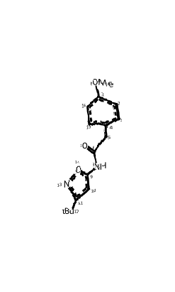 COc1ccc(CC(=O)Nc2cc(C(C)(C)C)no2)cc1